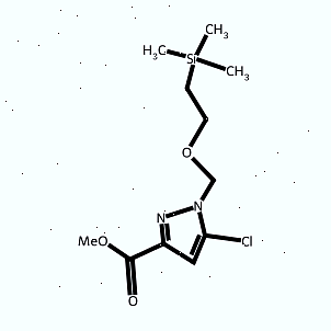 COC(=O)c1cc(Cl)n(COCC[Si](C)(C)C)n1